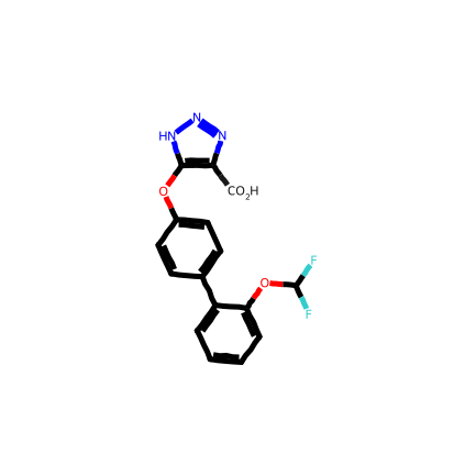 O=C(O)c1nn[nH]c1Oc1ccc(-c2ccccc2OC(F)F)cc1